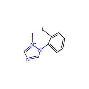 Ic1ccccc1-n1cnc[n+]1I